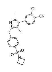 Cc1nn(Cc2ccc(S(=O)(=O)N3CCC3)cc2)c(C)c1-c1ccc(C#N)c(Cl)c1